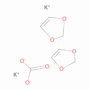 C1=COCO1.C1=COCO1.O=C([O-])[O-].[K+].[K+]